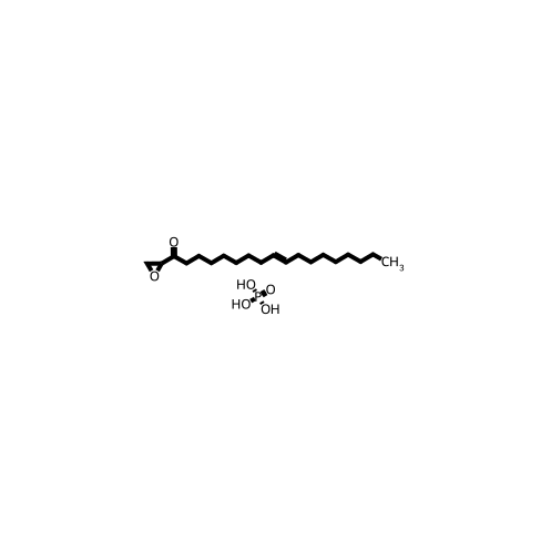 CCCCCCCCC=CCCCCCCCC(=O)C1CO1.O=P(O)(O)O